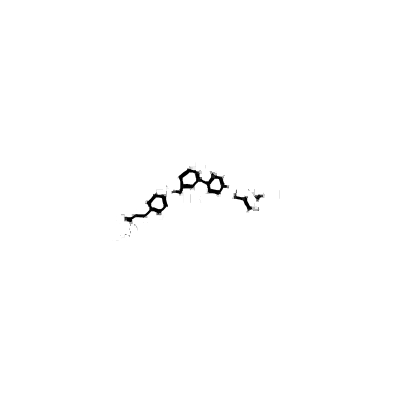 Cc1nc(COc2cc(C)c(-c3cccc(CNc4ccc(CCC(=O)OC(C)(C)C)c(F)c4)c3)c(C)c2)cs1